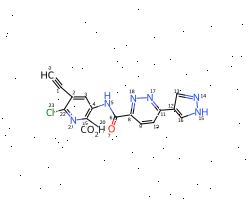 C#Cc1cc(NC(=O)c2ccc(-c3cn[nH]c3)nn2)c(C(=O)O)nc1Cl